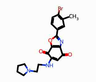 Cc1cc(-c2nc3c(o2)C(=O)C(NCCN2CCCC2)=CC3=O)ccc1Br